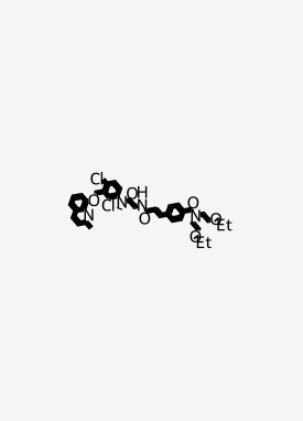 CCOCCN(CCOCC)C(=O)c1ccc(/C=C/C(=O)NCC(=O)N(C)c2ccc(Cl)c(COc3cccc4ccc(C)nc34)c2Cl)cc1